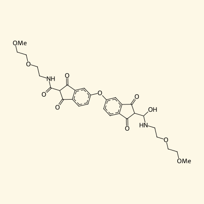 COCCOCCNC(=O)C1C(=O)c2ccc(Oc3ccc4c(c3)C(=O)C(C(O)NCCOCCOC)C4=O)cc2C1=O